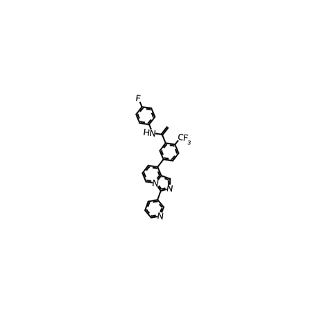 C=C(Nc1ccc(F)cc1)c1cc(-c2cccn3c(-c4cccnc4)ncc23)ccc1C(F)(F)F